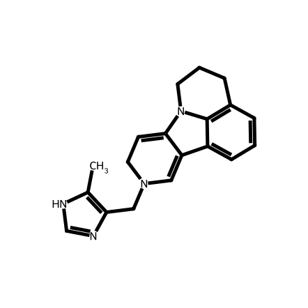 Cc1[nH]cnc1CN1C=c2c(n3c4c(cccc24)CCC3)=CC1